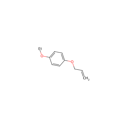 C=CCOc1ccc(OCC)cc1